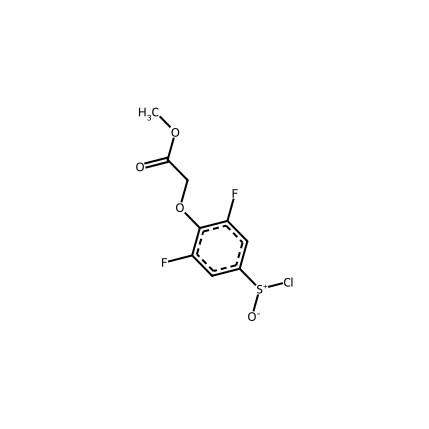 COC(=O)COc1c(F)cc([S+]([O-])Cl)cc1F